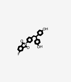 O=C1c2ccc(F)cc2C(=O)N1c1ccc(CC(c2ccc(O)cc2)c2ccc(O)cc2)cc1